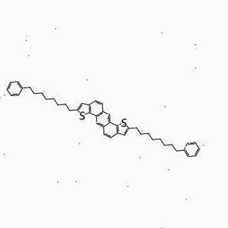 c1ccc(CCCCCCCCc2cc3ccc4cc5c(ccc6cc(CCCCCCCCc7ccccc7)sc65)cc4c3s2)cc1